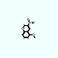 COc1cccc2c1C=C([N+](=O)[O-])CO2